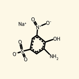 Nc1cc(S(=O)(=O)[O-])cc([N+](=O)[O-])c1O.[Na+]